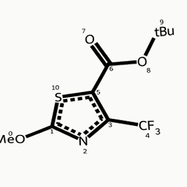 COc1nc(C(F)(F)F)c(C(=O)OC(C)(C)C)s1